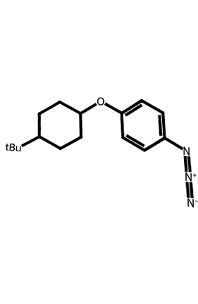 CC(C)(C)C1CCC(Oc2ccc(N=[N+]=[N-])cc2)CC1